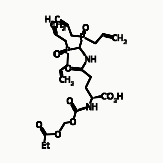 C=CCP(=O)(CC=C)C(NC(=O)CC[C@H](NC(=O)OCOC(=O)CC)C(=O)O)P(=O)(CC=C)CC=C